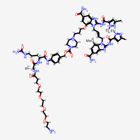 CCn1nc(C)cc1C(=O)Nc1nc2cc(C(N)=O)cc(OC)c2n1C/C=C/Cn1c(NC(=O)c2cc(C)nn2CC)nc2cc(C(N)=O)cc(OCCCN3CCN(C(=O)OCc4ccc(NC(=O)[C@H](CCCNC(N)=O)NC(=O)[C@H](NC(=O)CCOCCOCCOCCOCCN)C(C)C)cc4)CC3)c21